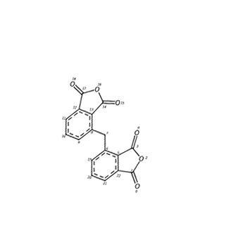 O=C1OC(=O)c2c(Cc3cccc4c3C(=O)OC4=O)cccc21